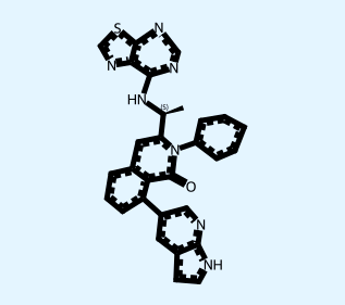 C[C@H](Nc1ncnc2scnc12)c1cc2cccc(-c3cnc4[nH]ccc4c3)c2c(=O)n1-c1ccccc1